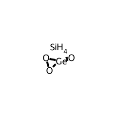 [O]=[Ge]1[O][O]1.[SiH4]